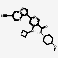 CO[C@H]1CC[C@H](NC(=O)c2cnc(-c3cnn4cc(C#N)cnc34)cc2NC2COC2)CC1